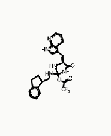 O=C1NC(NCC2CCc3ccccc32)(OC(=O)C(F)(F)F)NC1=Cc1c[nH]c2ncccc12